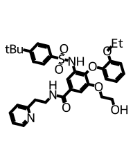 CCOc1ccccc1Oc1c(NS(=O)(=O)c2ccc(C(C)(C)C)cc2)cc(C(=O)NCCc2ccccn2)cc1OCCO